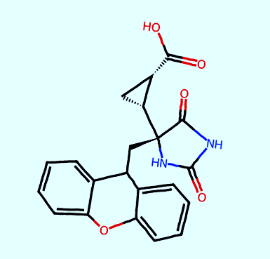 O=C1NC(=O)[C@@](CC2c3ccccc3Oc3ccccc32)([C@@H]2C[C@@H]2C(=O)O)N1